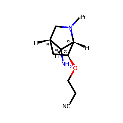 CC(C)N1C[C@H]2C[C@H](OCCC#N)[C@@H]1[C@@H]2N